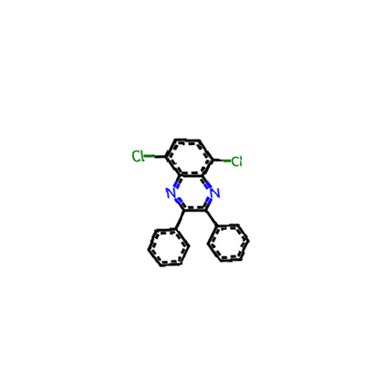 Clc1ccc(Cl)c2nc(-c3ccccc3)c(-c3ccccc3)nc12